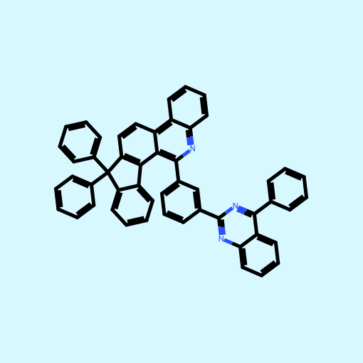 c1ccc(-c2nc(-c3cccc(-c4nc5ccccc5c5ccc6c(c45)-c4ccccc4C6(c4ccccc4)c4ccccc4)c3)nc3ccccc23)cc1